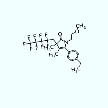 CCc1ccc(C2=C(C)C(C)(CC(F)(F)C(F)(F)C(F)(F)C(F)(F)F)C(=O)N2CCOC)cc1